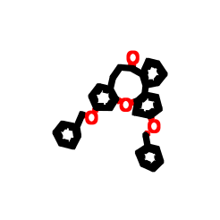 O=C1CCc2ccc(OCc3ccccc3)cc2Oc2cc(OCc3ccccc3)ccc2-c2ccccc21